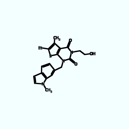 CCc1sc2c(c1C)c(=O)n(CCO)c(=O)n2Cc1ccc2ccn(C)c2c1